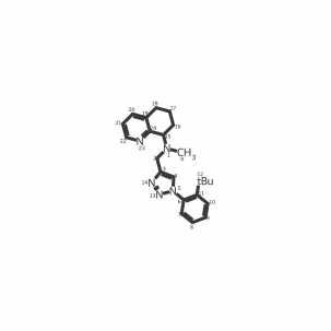 CN(Cc1cn(-c2[c]cccc2C(C)(C)C)nn1)C1CCCc2cccnc21